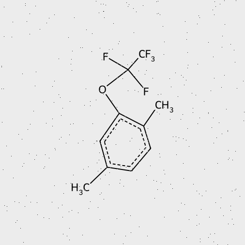 Cc1[c]c(OC(F)(F)C(F)(F)F)c(C)cc1